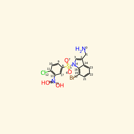 NCc1cn(S(=O)(=O)c2ccc(Cl)c(N(O)O)c2)c2c(Br)cccc12